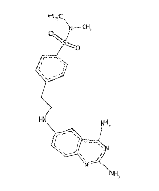 CN(C)S(=O)(=O)c1ccc(CCNc2ccc3nc(N)nc(N)c3c2)cc1